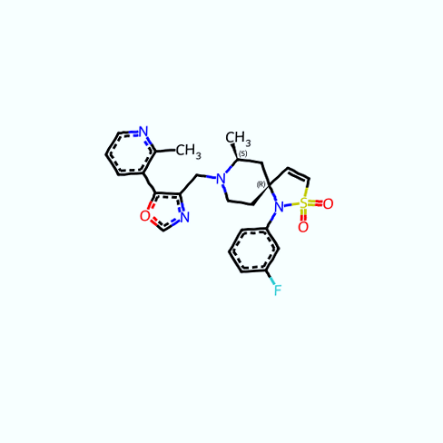 Cc1ncccc1-c1ocnc1CN1CC[C@]2(C=CS(=O)(=O)N2c2cccc(F)c2)C[C@@H]1C